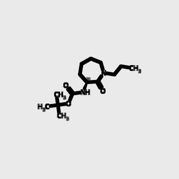 CCCN1CCCC[C@H](NC(=O)OC(C)(C)C)C1=O